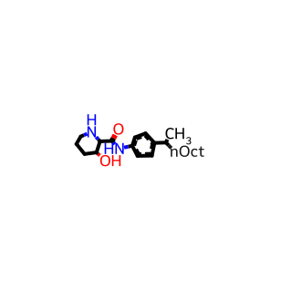 CCCCCCCCC(C)c1ccc(NC(=O)C2NCCCC2O)cc1